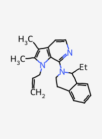 C=CCn1c(C)c(C)c2ccnc(N3CCc4ccccc4C3CC)c21